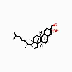 CC(C)CCC[C@@H](C)[C@H]1CC[C@H]2[C@@H]3CC=C4C[C@@](O)(C=O)CC[C@]4(C)[C@H]3CC[C@]12C